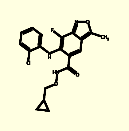 Cc1onc2c(F)c(Nc3ccccc3Cl)c(C(=O)NOCC3CC3)cc12